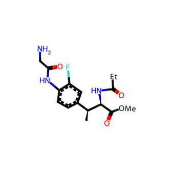 CCC(=O)N[C@@H](C(=O)OC)[C@@H](C)c1ccc(NC(=O)CN)c(F)c1